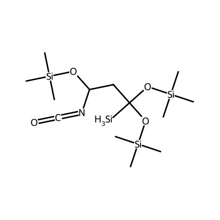 C[Si](C)(C)OC(CC([SiH3])(O[Si](C)(C)C)O[Si](C)(C)C)N=C=O